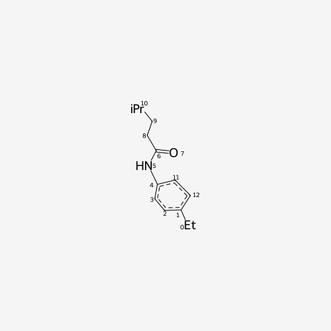 CCc1ccc(NC(=O)CCC(C)C)cc1